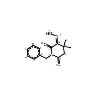 CC1(C)CC(=O)N(Cc2ccccc2)C(=O)/C1=N\O